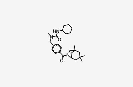 CN(Cc1ccc(C(=O)N2CC3(C)CC2CC(C)(C)C3)cc1)C(=O)NC1CCCCC1